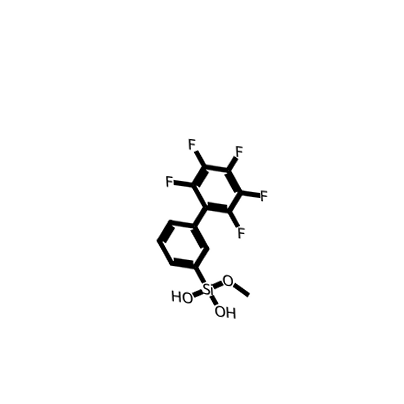 CO[Si](O)(O)c1cccc(-c2c(F)c(F)c(F)c(F)c2F)c1